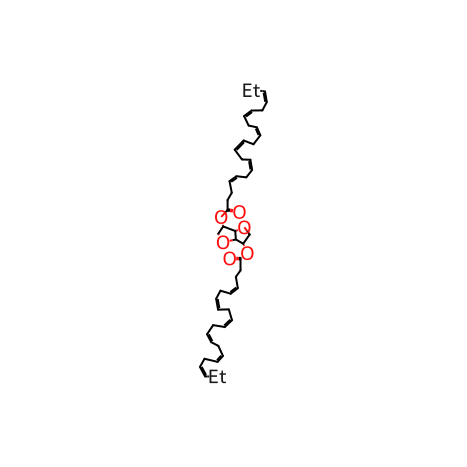 CC/C=C\C/C=C\C/C=C\C/C=C\C/C=C\C/C=C\CCC(=O)O[C@H]1COC2C1OC[C@H]2OC(=O)CC/C=C\C/C=C\C/C=C\C/C=C\C/C=C\C/C=C\CC